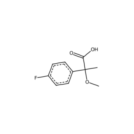 COC(C)(C(=O)O)c1ccc(F)cc1